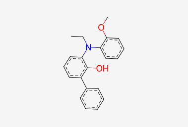 CCN(c1ccccc1OC)c1cccc(-c2ccccc2)c1O